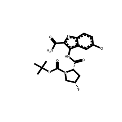 CC(C)(C)OC(=O)N1C[C@@H](F)C[C@H]1C(=O)Nc1c(C(N)=O)oc2ccc(Cl)cc12